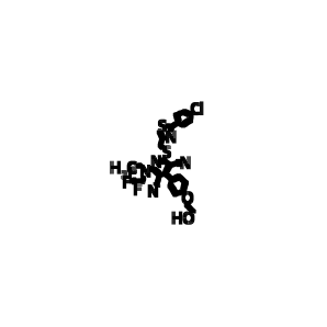 CCN(CC(F)(F)F)c1nc(SCc2csc(-c3ccc(Cl)cc3)n2)c(C#N)c(-c2ccc(OCCO)cc2)c1C#N